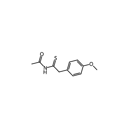 COc1ccc(CC(=S)NC(C)=O)cc1